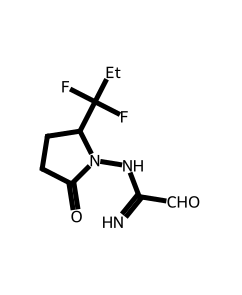 CCC(F)(F)C1CCC(=O)N1NC(=N)C=O